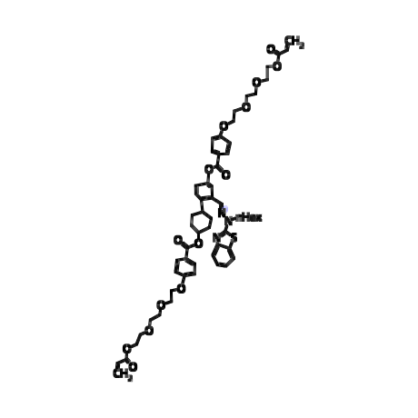 C=CC(=O)OCCOCCOCCOc1ccc(C(=O)Oc2ccc(C3CCC(OC(=O)c4ccc(OCCOCCOCCOC(=O)C=C)cc4)CC3)c(/C=N/N(CCCCCC)c3nc4ccccc4s3)c2)cc1